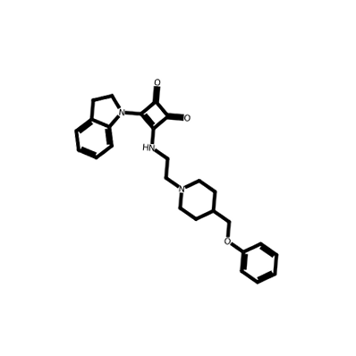 O=c1c(NCCN2CCC(COc3ccccc3)CC2)c(N2CCc3ccccc32)c1=O